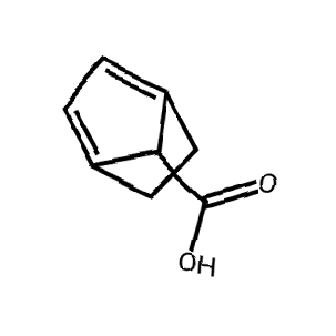 O=C(O)C1C2=CC=C1CC2